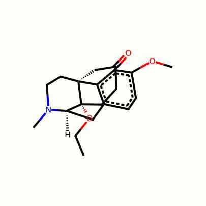 CCO[C@@]12CCC(=O)C[C@@]13CCN(C)[C@@H]2Cc1ccc(OC)cc13